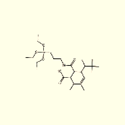 CCO[Si](CCCNC(=O)C1C(C(C)C(C)(C)C)C=C(C)C(C)C1C(=O)O)(OCC)OCC